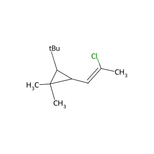 C/C(Cl)=C/C1C(C(C)(C)C)C1(C)C